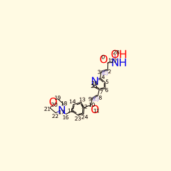 O=C(/C=C/c1ccc(/C=C/C(=O)c2ccc(CN3CCOCC3)cc2)cn1)NO